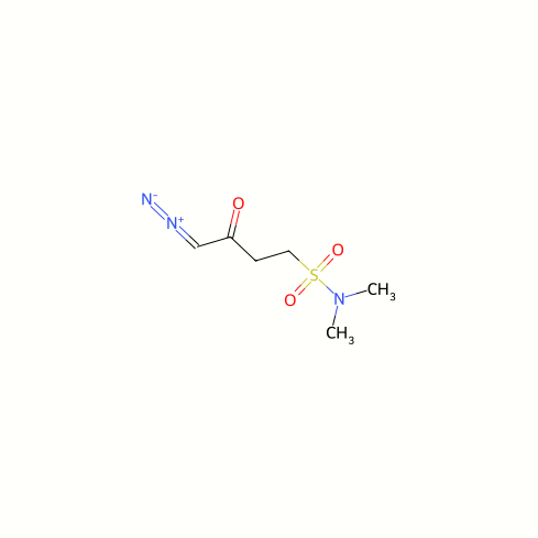 CN(C)S(=O)(=O)CCC(=O)C=[N+]=[N-]